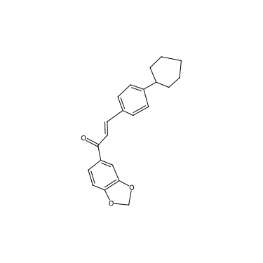 O=C(/C=C/c1ccc(C2CCCCC2)cc1)c1ccc2c(c1)OCO2